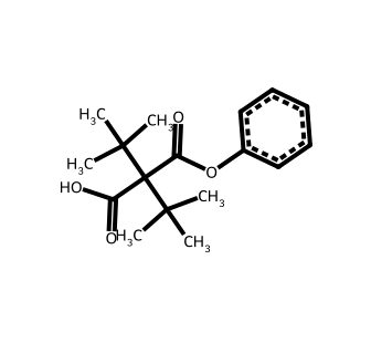 CC(C)(C)C(C(=O)O)(C(=O)Oc1ccccc1)C(C)(C)C